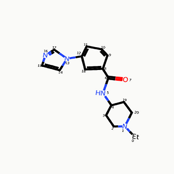 CCN1CCC(NC(=O)c2cccc(-n3ccnc3)c2)CC1